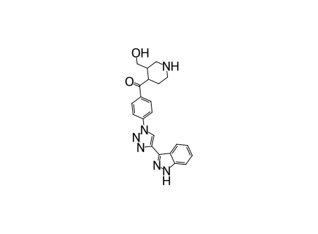 O=C(c1ccc(-n2cc(-c3n[nH]c4ccccc34)nn2)cc1)C1CCNCC1CO